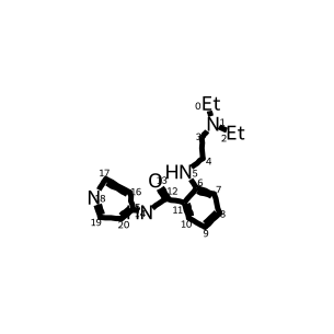 CCN(CC)CCNc1ccccc1C(=O)Nc1ccncc1